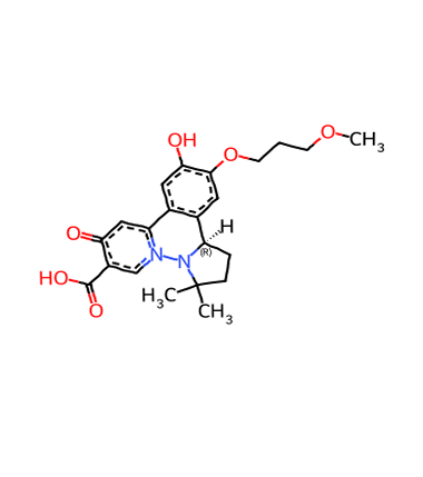 COCCCOc1cc2c(cc1O)-c1cc(=O)c(C(=O)O)cn1N1[C@@H]2CCC1(C)C